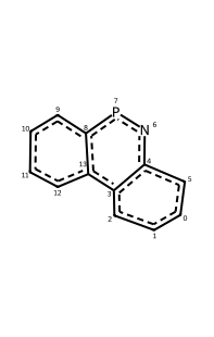 c1ccc2c(c1)npc1ccccc12